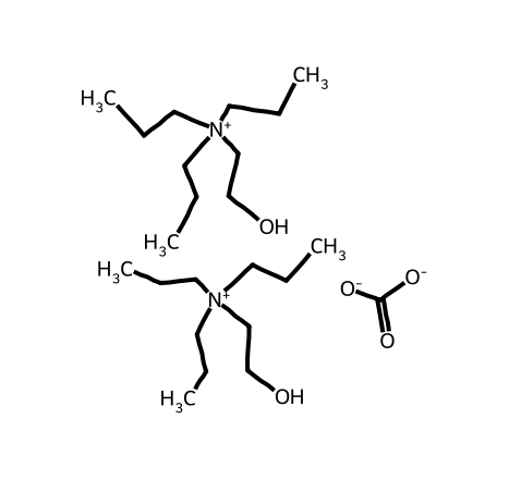 CCC[N+](CCC)(CCC)CCO.CCC[N+](CCC)(CCC)CCO.O=C([O-])[O-]